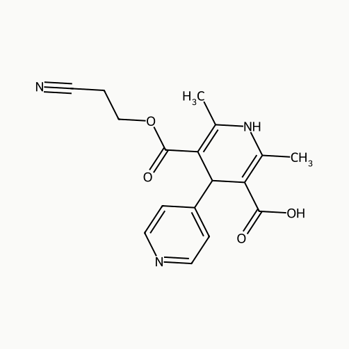 CC1=C(C(=O)O)C(c2ccncc2)C(C(=O)OCCC#N)=C(C)N1